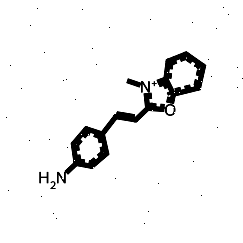 C[n+]1c(C=Cc2ccc(N)cc2)oc2ccccc21